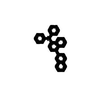 c1ccc(N(c2ccccc2)c2ccc(-c3ccc4ccccc4c3)c3ccccc23)cc1